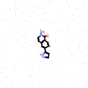 Cn1ccc2cc(-c3ccn[nH]3)ccc2c1=O